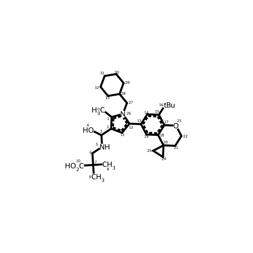 Cc1c(C(O)NCC(C)(C)C(=O)O)cc(-c2cc(C(C)(C)C)c3c(c2)C2(CCO3)CC2)n1CC1CCCCC1